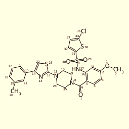 COc1ccc(C(=O)N2CCN(c3nc(-c4cccc(C)c4)cs3)CC2)c(NS(=O)(=O)c2ccc(Cl)s2)c1